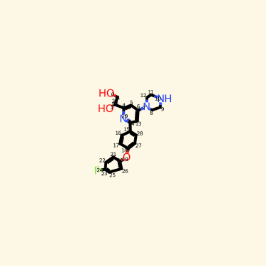 OC[C@H](O)c1cc(N2CCNCC2)cc(-c2ccc(Oc3ccc(F)cc3)cc2)n1